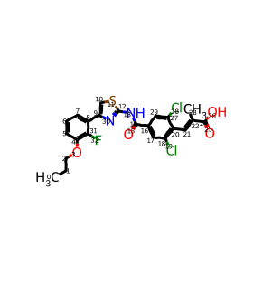 CCCOc1cccc(-c2csc(NC(=O)c3cc(Cl)c(C=C(C)C(=O)O)c(Cl)c3)n2)c1F